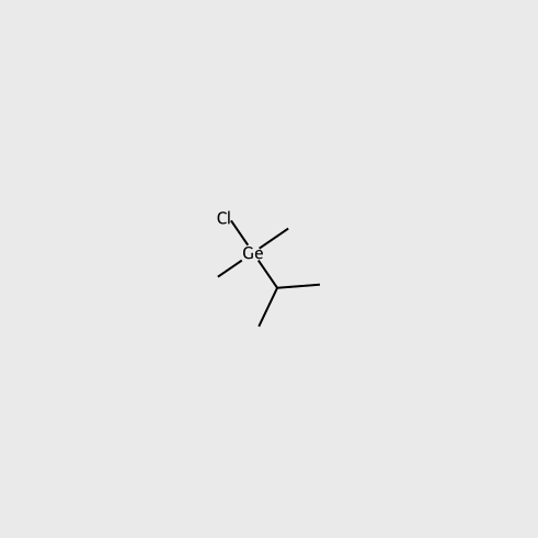 C[CH](C)[Ge]([CH3])([CH3])[Cl]